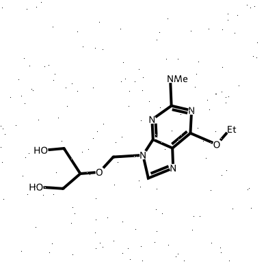 CCOc1nc(NC)nc2c1ncn2COC(CO)CO